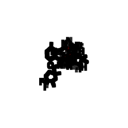 [2H]C1([2H])C2([2H])N(C(C)C(C)(C)[C@H](NC(=O)C3(C)CCC(F)(F)C(C)C3)c3cccc(C)c3C)[C@]([2H])(C1(C)C)C([2H])([2H])[C@@]([2H])(n1c(CC)nnc1C(C)CC)C2([2H])[2H]